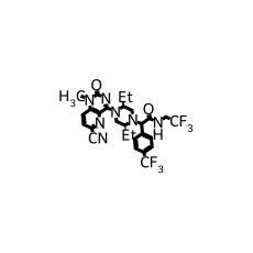 CC[C@H]1CN(C(C(=O)NCC(F)(F)F)c2ccc(C(F)(F)F)cc2)[C@H](CC)CN1c1nc(=O)n(C)c2ccc(C#N)nc12